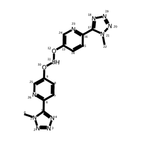 Cn1nnnc1-c1ccc(OBOc2ccc(-c3nnnn3C)nc2)cn1